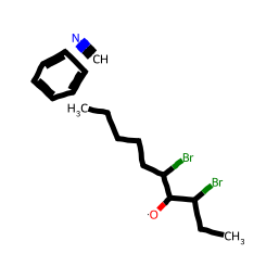 C#N.CCCCCC(Br)C([O])C(Br)CC.c1ccccc1